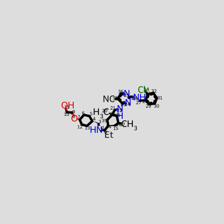 CC[C@H](NC[C@H]1CC[C@H](OCCO)CC1)[C@@H]1CC(C)C[C@@](C)(CNc2nc(NCc3ccccc3Cl)ncc2C#N)C1